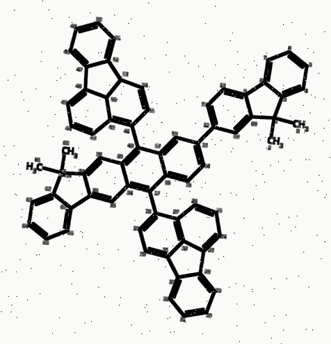 CC1(C)c2ccccc2-c2ccc(-c3ccc4c(-c5ccc6c7c(cccc57)-c5ccccc5-6)c5cc6c(cc5c(C5=C7C=CC=C8c9ccccc9C(C=C5)C87)c4c3)[Si](C)(C)c3ccccc3-6)cc21